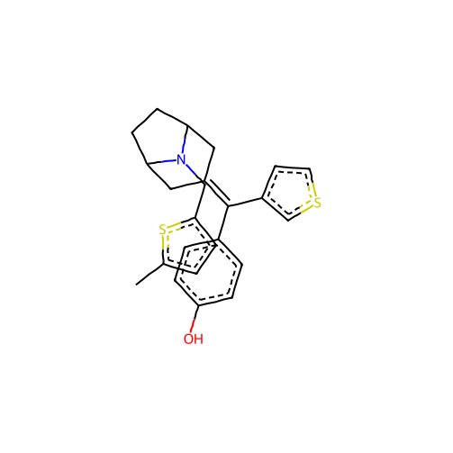 Cc1ccc(CN2C3CCC2CC(=C(c2ccc(O)cc2)c2ccsc2)C3)s1